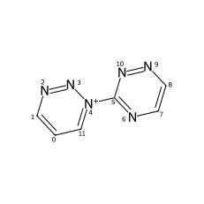 c1cnn[n+](-c2nccnn2)c1